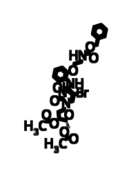 CC(=O)OC[C@H]1O[C@@H](n2cc(Br)c(Nc3c(O)cccc3OCCNC(=O)OCc3ccccc3)nc2=O)C[C@H]1OC(C)=O